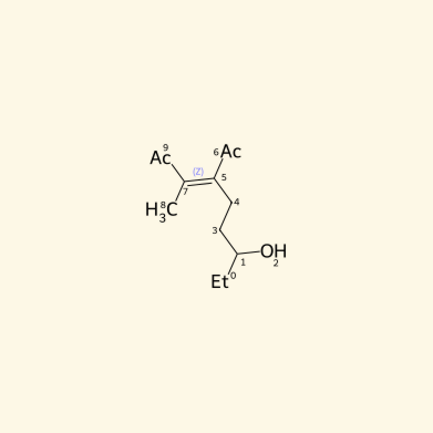 CCC(O)CC/C(C(C)=O)=C(\C)C(C)=O